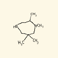 CC1CBCC(C)(C)CN1C